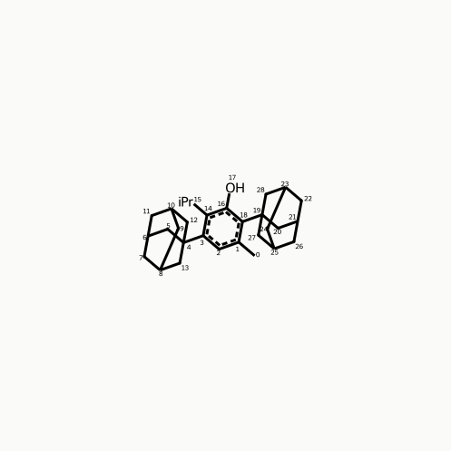 Cc1cc(C23CC4CC(CC(C4)C2)C3)c(C(C)C)c(O)c1C12CC3CC(CC(C3)C1)C2